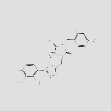 O=C1N(Cc2ccc(F)cc2F)C(=O)C2(CC2)N1Cc1nnc(-c2ccc(F)c(O)c2Cl)s1